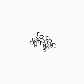 CSc1nc2c3c(c(Cl)c(-c4ccc(F)c5sc(NC(=O)OC(C)(C)C)nc45)c(F)c3n1)OCC1CCCCCN21